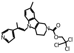 CC(=Cn1c2c(c3cc(C)ccc31)CN(C(=O)OCC(Cl)(Cl)Cl)CC2)c1ccncc1